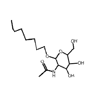 CCCCCCCOC1OC(CO)C(O)C(O)C1NC(C)=O